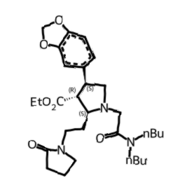 CCCCN(CCCC)C(=O)CN1C[C@H](c2ccc3c(c2)OCO3)[C@@H](C(=O)OCC)[C@@H]1CCN1CCCC1=O